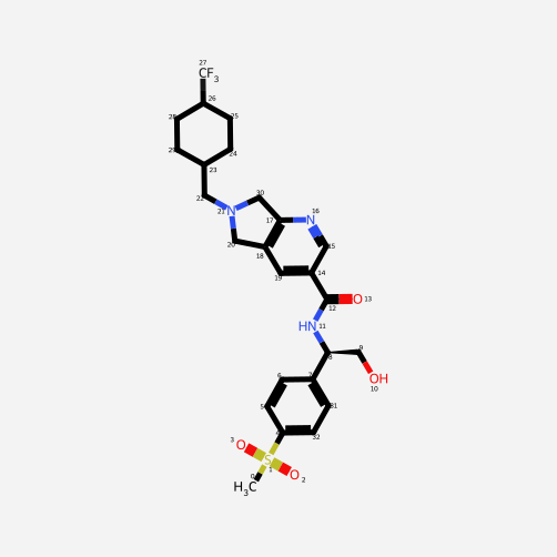 CS(=O)(=O)c1ccc([C@H](CO)NC(=O)c2cnc3c(c2)CN(CC2CCC(C(F)(F)F)CC2)C3)cc1